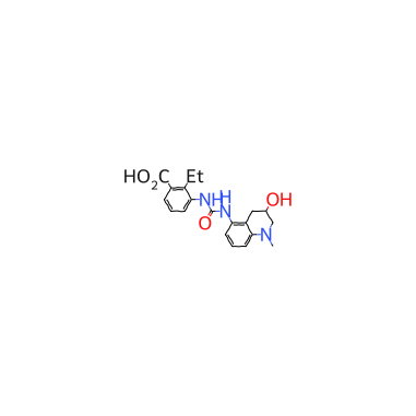 CCc1c(NC(=O)Nc2cccc3c2CC(O)CN3C)cccc1C(=O)O